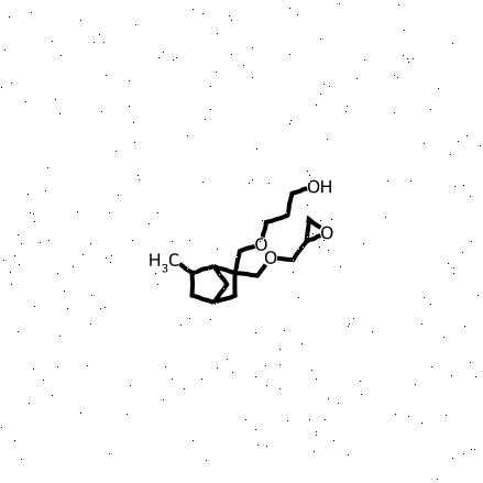 CC1CC2CC1C(COCCCO)(COCC1CO1)C2